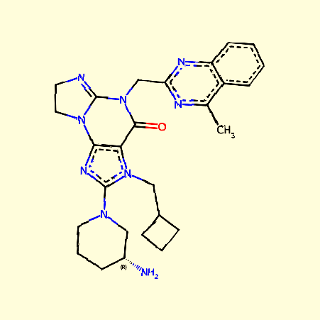 Cc1nc(CN2C(=O)c3c(nc(N4CCC[C@@H](N)C4)n3CC3CCC3)N3CCN=C23)nc2ccccc12